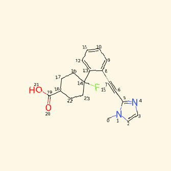 Cn1ccnc1C#Cc1ccccc1C1(F)CCC(C(=O)O)CC1